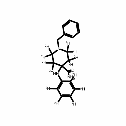 [2H]c1c([2H])c([2H])c(NC2(C(N)=O)C([2H])([2H])C([2H])([2H])N(Cc3ccccc3)C([2H])([2H])C2([2H])[2H])c([2H])c1[2H]